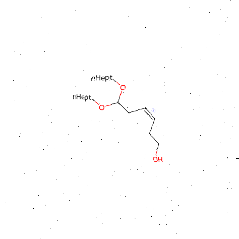 CCCCCCCOC(C/C=C\CCO)OCCCCCCC